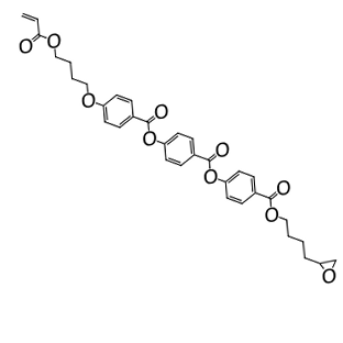 C=CC(=O)OCCCCOc1ccc(C(=O)Oc2ccc(C(=O)Oc3ccc(C(=O)OCCCCC4CO4)cc3)cc2)cc1